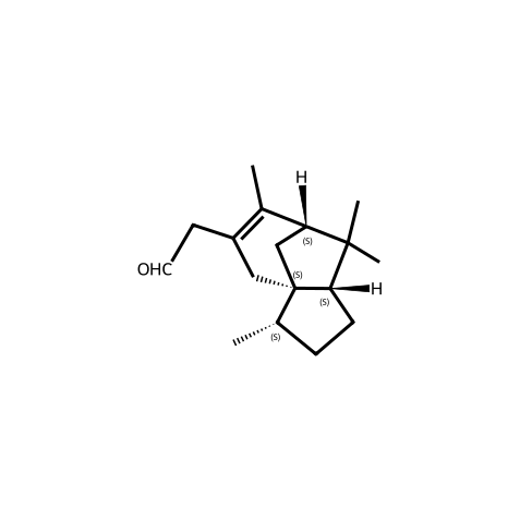 CC1=C(CC=O)C[C@]23C[C@H]1C(C)(C)[C@@H]2CC[C@@H]3C